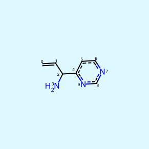 C=CC(N)c1ccncn1